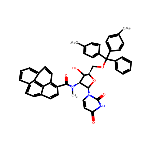 COc1ccc(C(OC[C@H]2O[C@@H](n3ccc(=O)[nH]c3=O)[C@@H](N(C)C(=O)c3ccc4ccc5cccc6ccc3c4c56)C2O)(c2ccccc2)c2ccc(OC)cc2)cc1